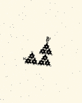 C=O.Cc1ccc(P(c2ccc(C)cc2C)c2ccc(C)cc2C)c(C)c1.Cc1ccc(P(c2ccc(C)cc2C)c2ccc(C)cc2C)c(C)c1.Cc1ccc(P(c2ccc(C)cc2C)c2ccc(C)cc2C)c(C)c1.[Cl][Ru].[H-]